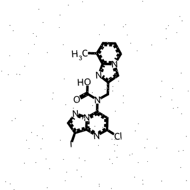 Cc1cccn2cc(CN(C(=O)O)c3cc(Cl)nc4c(I)cnn34)nc12